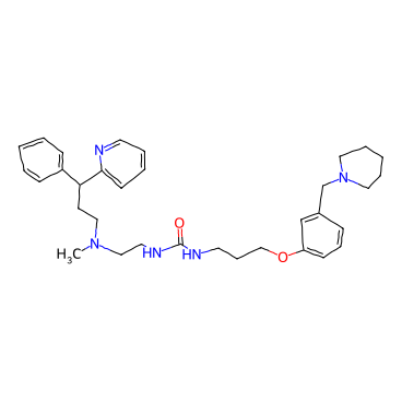 CN(CCNC(=O)NCCCOc1cccc(CN2CCCCC2)c1)CCC(c1ccccc1)c1ccccn1